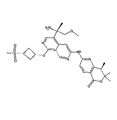 COC[C@@](C)(N)c1cnc(O[C@H]2C[C@@H](S(C)(=O)=O)C2)c2cnc(Nc3ccc4c(n3)[C@@H](C)C(C)(C)OC4=O)cc12